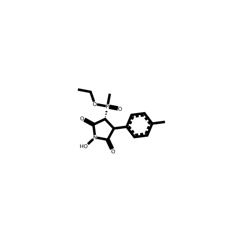 CCOP(C)(=O)[C@H]1C(=O)N(O)C(=O)C1c1ccc(C)cc1